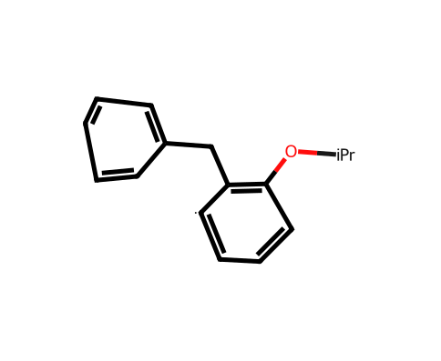 CC(C)Oc1ccc[c]c1Cc1ccccc1